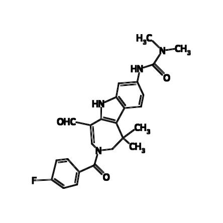 CN(C)C(=O)Nc1ccc2c3c([nH]c2c1)C(C=O)=CN(C(=O)c1ccc(F)cc1)CC3(C)C